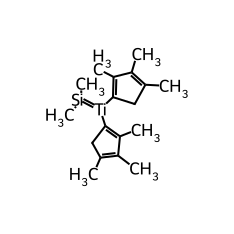 CC1=C(C)C(C)=[C]([Ti]([C]2=C(C)C(C)=C(C)C2)=[Si](C)C)C1